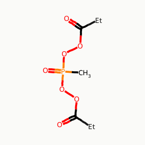 CCC(=O)OOP(C)(=O)OOC(=O)CC